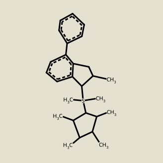 CC1Cc2c(-c3ccccc3)cccc2C1S(C)(C)C1C(C)C(C)C(C)C1C